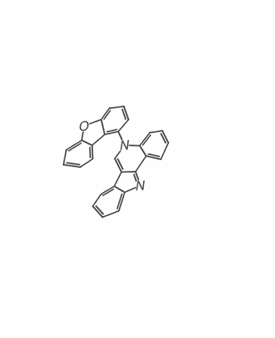 c1ccc2c3cn(-c4cccc5oc6ccccc6c45)c4ccccc4c-3nc2c1